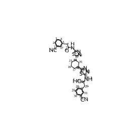 N#Cc1cccc(CC(=O)Nc2nnc([C@H]3CCC[C@H](c4nnc(NC(O)Cc5cccc(C#N)c5)s4)C3)s2)c1